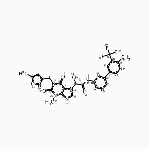 Cc1cc(Cn2c(=O)c3c(ncn3[C@@H](C)C(=O)Nc3cncc(-c4cnc(C)c(C(F)(F)F)c4)n3)n(C)c2=O)no1